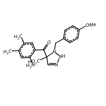 COc1ccc(CN2NN=CC2(C(=O)O)C(=O)c2cc(C)c(C)cc2N)cc1